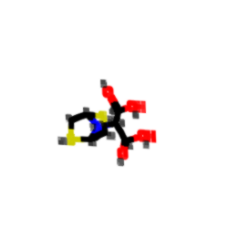 O=C(O)C(C(=O)O)N1C2CSC1CS2